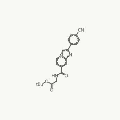 CC(C)(C)OC(=O)CNC(=O)c1ccn2cc(-c3ccc(C#N)cc3)nc2c1